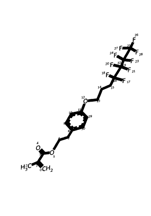 C=C(C)C(=O)OCCc1ccc(OCCCC(F)(F)C(F)(F)C(F)(F)C(F)(F)F)cc1